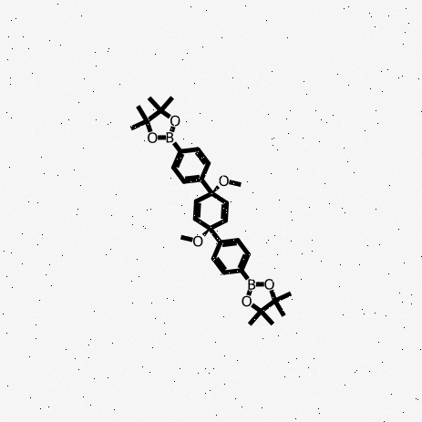 CO[C@]1(c2ccc(B3OC(C)(C)C(C)(C)O3)cc2)C=C[C@@](OC)(c2ccc(B3OC(C)(C)C(C)(C)O3)cc2)C=C1